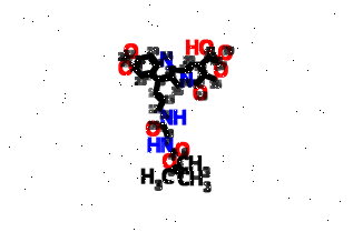 CC(C)(C)OC(=O)NCC(=O)NC/C=C/c1c2c(nc3cc4c(cc13)OCO4)-c1cc3c(c(=O)n1C2)COC(=O)C3O